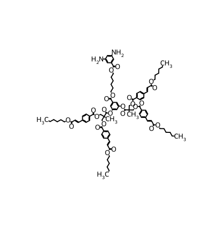 CCCCCCOC(=O)C=Cc1ccc(C(=O)OCC(C)(COC(=O)c2ccc(C=CC(=O)OCCCCCC)cc2)C(=O)Oc2cc(OC(=O)C(C)(COC(=O)c3ccc(C=CC(=O)OCCCCCC)cc3)COC(=O)c3ccc(C=CC(=O)OCCCCCC)cc3)cc(C(=O)OCCCCCCOC(=O)c3cc(N)cc(N)c3)c2)cc1